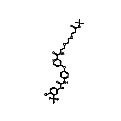 CC(C)(C)OC(=O)CCOCCOCCNC(=O)c1cc(Oc2ccc(NC(=O)Nc3ccc(Cl)c(C(F)(F)F)c3)cc2)ccn1